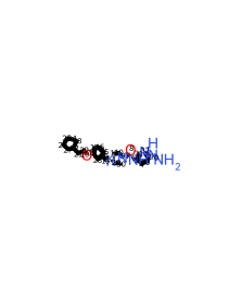 NNc1ccc(NC(=O)N2CCN(Cc3cccc(OCCC4CCCCC4)c3)CC2)cn1